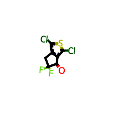 O=C1c2c(Cl)sc(Cl)c2CC1(F)F